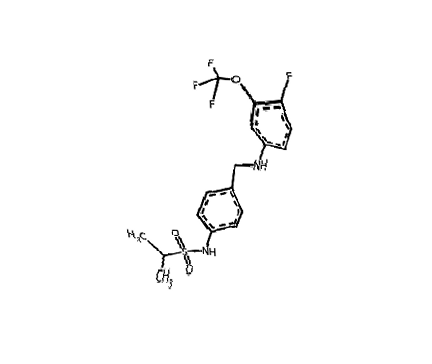 CC(C)S(=O)(=O)Nc1ccc(CNc2ccc(F)c(OC(F)(F)F)c2)cc1